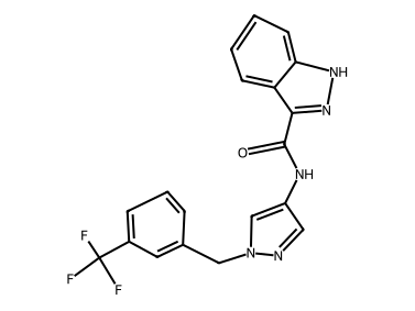 O=C(Nc1cnn(Cc2cccc(C(F)(F)F)c2)c1)c1n[nH]c2ccccc12